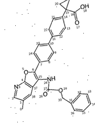 Cc1cnc2oc(-c3ccc(-c4ccc(C5(C(=O)O)CC5)cc4)cc3)c(NC(=O)OCc3ccccc3)c2c1